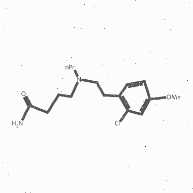 CCCN(CCCC(N)=O)CCc1ccc(OC)cc1Cl